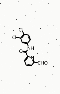 O=Cc1cccc(C(=O)Nc2ccc(Cl)c(Cl)c2)n1